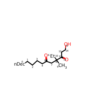 CCCCCCCCCCCCCCC(=O)CC(C)(CC)C(=O)CCO